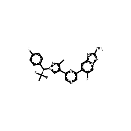 Cc1nn([C@H](c2ccc(F)cc2)C(C)(F)F)cc1-c1cncc(-c2cc3nc(N)nn3cc2F)n1